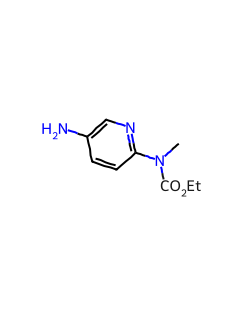 CCOC(=O)N(C)c1ccc(N)cn1